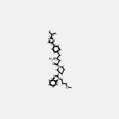 COCCCn1c([C@@H]2CCCN(C(=O)C[C@H](N)Cc3ccc(-c4csc(C(C)C)n4)cc3)C2)nc2ccccc21